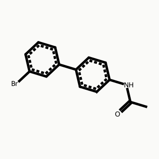 CC(=O)Nc1[c]cc(-c2cccc(Br)c2)cc1